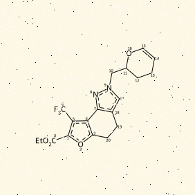 CCOC(=O)c1oc2c(c1C(F)(F)F)-c1nn(CC3CCC=CO3)cc1CC2